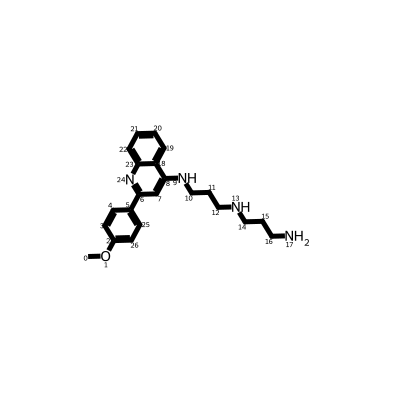 COc1ccc(-c2cc(NCCCNCCCN)c3ccccc3n2)cc1